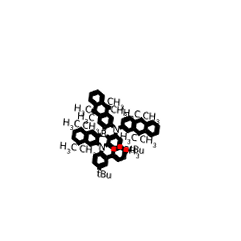 Cc1cc2c3c(c1)N(c1ccc(C(C)(C)C)cc1-c1ccc(C(C)(C)C)cc1)c1cc4c(cc1B3c1cc3c(cc1N2c1ccc2c(c1)C(C)(C)c1ccccc1C2(C)C)C(C)(C)c1ccccc1C3(C)C)C(C)(C)CCC4(C)C